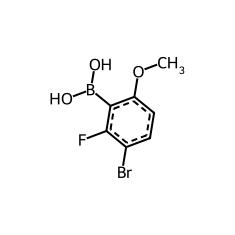 COc1ccc(Br)c(F)c1B(O)O